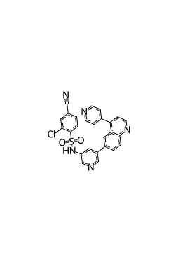 N#Cc1ccc(S(=O)(=O)Nc2cncc(-c3ccc4nccc(-c5ccncc5)c4c3)c2)c(Cl)c1